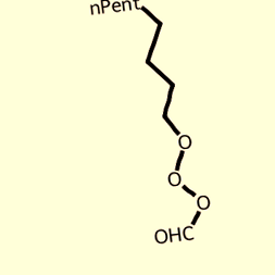 CCCCCCCCCOOOC=O